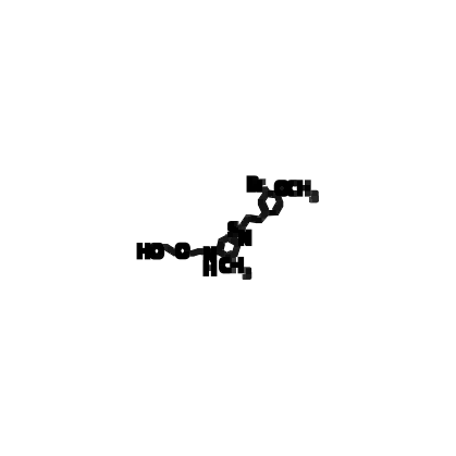 COc1ccc(/C=C/c2nc3cc(C)c(NCCOCCO)cc3s2)cc1Br